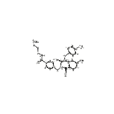 COCCCNC(=O)c1ccc(Cn2c(=O)c3ccc(O)cc3n(Cc3ccc(C)cc3)c2=O)cc1